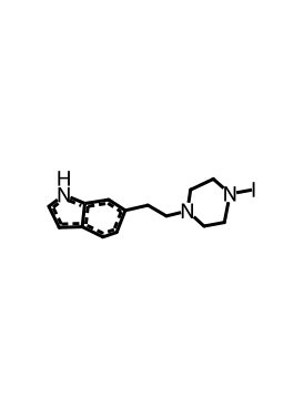 IN1CCN(CCc2ccc3cc[nH]c3c2)CC1